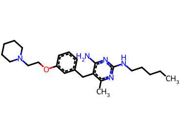 CCCCCNc1nc(C)c(Cc2cccc(OCCN3CCCCC3)c2)c(N)n1